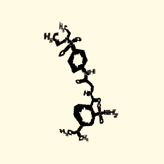 CCN(CC)S(=O)(=O)c1ccc(NC(=O)CNC(=O)c2ccc(C(C)C)cc2S(N)(=O)=O)cc1